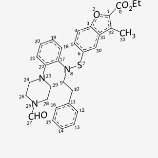 CCOC(=O)c1oc2ccc(SN(CCc3ccccc3)c3ccccc3N3CCN(C=O)CC3)cc2c1C